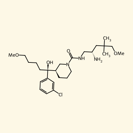 COCCCC[C@@](O)(c1cccc(Cl)c1)[C@@H]1CCCN(C(=O)NC[C@@H](N)CC(C)(C)COC)C1